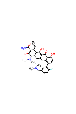 C=CC1C(C(N)=O)=C(O)[C@@H](N(C)C)C2CC3Cc4c(-c5cc(CN(C)C)ccc5F)ccc(O)c4C(=O)C3=C(O)C12